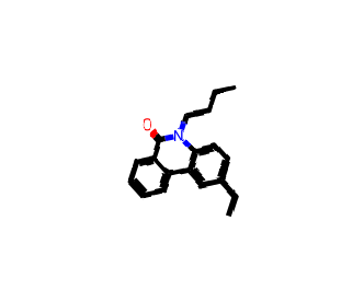 CCCCn1c(=O)c2ccccc2c2cc(CC)ccc21